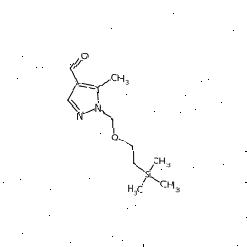 Cc1c(C=O)cnn1COCC[Si](C)(C)C